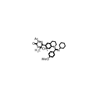 COc1ccc(/C(=N/C2CCCCC2)N2CCCc3cc(C4=NN(C(C)=O)C(=O)SC4(C)C)ccc32)cc1